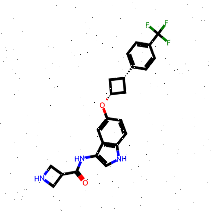 O=C(Nc1c[nH]c2ccc(O[C@H]3C[C@@H](c4ccc(C(F)(F)F)cc4)C3)cc12)C1CNC1